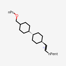 CCCCC/C=C/[C@H]1CC[C@H](C2CCC(COCCC)CC2)CC1